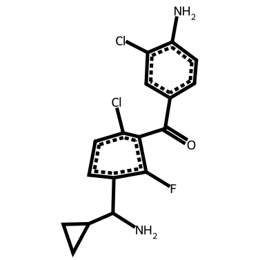 Nc1ccc(C(=O)c2c(Cl)ccc(C(N)C3CC3)c2F)cc1Cl